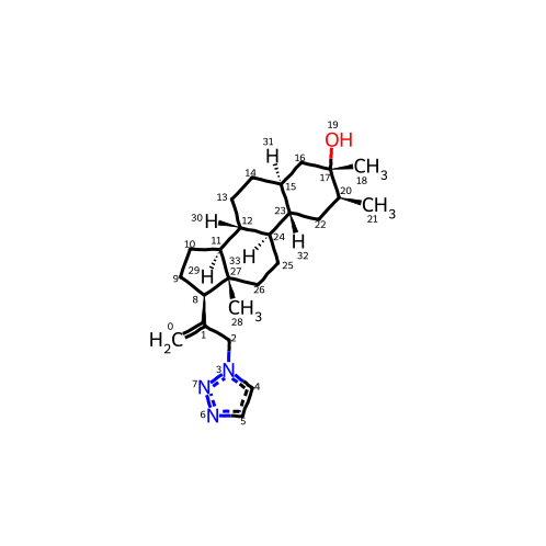 C=C(Cn1ccnn1)[C@H]1CC[C@H]2[C@@H]3CC[C@H]4C[C@](C)(O)[C@@H](C)C[C@@H]4[C@H]3CC[C@]12C